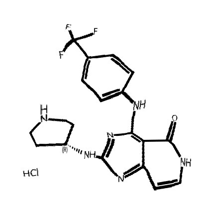 Cl.O=c1[nH]ccc2nc(N[C@@H]3CCNC3)nc(Nc3ccc(C(F)(F)F)cc3)c12